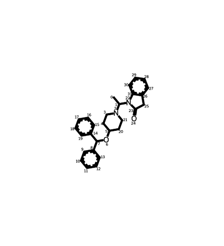 CC(N1CCC(OC(c2ccccc2)c2ccccc2)CC1)N1C(=O)Cc2ccccc21